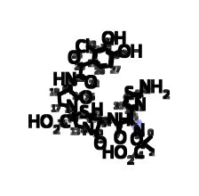 CC(C)(O/N=C(\C(=O)N[C@@H]1C(=O)N2C[C@@](C(=O)O)(N3CC[C@@H](NC(=O)C(=O)c4ccc(O)c(O)c4Cl)C3=O)S[C@H]12)c1csc(N)n1)C(=O)O